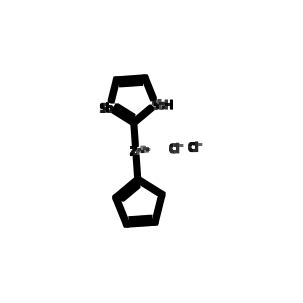 C1=CC[C]([Zr+2][C]2=[Sb][CH]=[CH][SbH]2)=C1.[Cl-].[Cl-]